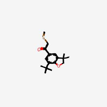 CSCC(=O)c1cc(C(C)(C)C)c2c(c1)C(C)(C)CO2